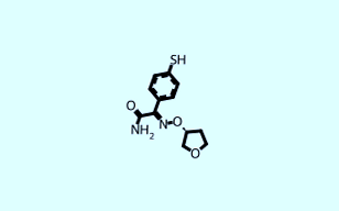 NC(=O)/C(=N/O[C@@H]1CCOC1)c1ccc(S)cc1